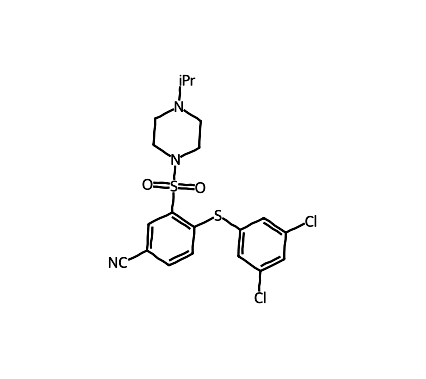 CC(C)N1CCN(S(=O)(=O)c2cc(C#N)ccc2Sc2cc(Cl)cc(Cl)c2)CC1